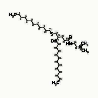 CCCCCCCCCCCCSCC(CCC(=O)NCCN(C)C)[S+]([O-])CCCCCCCCCCCC